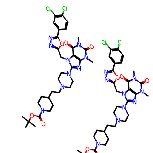 Cn1c(=O)c2c(nc(N3CCN(CCC4CCN(C(=O)OC(C)(C)C)CC4)CC3)n2Cc2nnc(-c3ccc(Cl)c(Cl)c3)o2)n(C)c1=O.Cn1c(=O)c2c(nc(N3CCN(CCC4CCN(C(=O)OC(C)(C)C)CC4)CC3)n2Cc2nnc(-c3ccc(Cl)c(Cl)c3)o2)n(C)c1=O